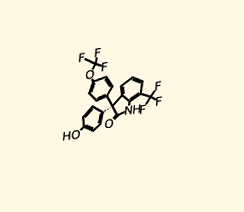 O=C1Nc2c(C(F)(F)F)cccc2[C@]1(c1ccc(O)cc1)c1ccc(OC(F)(F)F)cc1